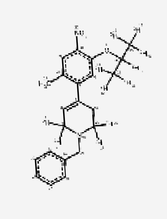 [2H]C1([2H])C=C(c2cc(OC([2H])(C([2H])([2H])[2H])C([2H])([2H])[2H])c([N+](=O)[O-])cc2C)CC([2H])([2H])N1Cc1ccccc1